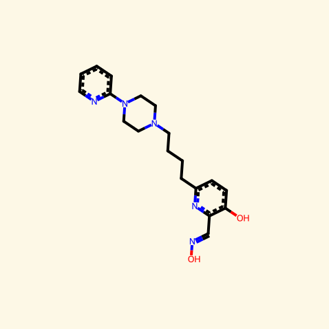 ON=Cc1nc(CCCCN2CCN(c3ccccn3)CC2)ccc1O